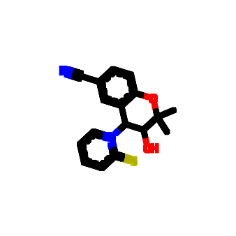 CC1(C)Oc2ccc(C#N)cc2C(n2ccccc2=S)C1O